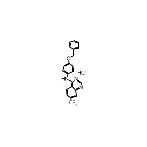 Cl.FC(F)(F)c1ccc2c(Nc3ccc(OCc4ccccc4)cc3)ncnc2c1